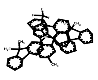 Cc1ccc2c(c1)C1(c3cc(C(F)(F)F)ccc3-2)c2ccccc2-c2cccc(-c3ccccc3N(c3ccc4c(c3)C(C)(C)c3ccccc3-4)c3ccc4c(c3)C(C)(C)c3ccccc3-4)c21